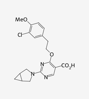 COc1ccc(CCOc2nc(N3CC4CC4C3)ncc2C(=O)O)cc1Cl